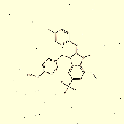 CCc1cc(C(F)(F)F)cc2c1n(C)/c(=N/c1ccc(C)cc1)n2Cc1ccc(CO)cc1